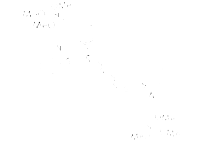 CO[Si](CCc1cccc(SSSSSSc2cccc(CC[Si](OC)(OC)OC)c2-c2nc3ccccc3s2)c1-c1nc2ccccc2s1)(OC)OC